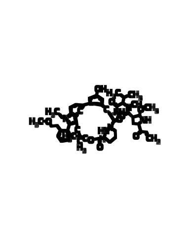 C=CC(=O)C1C[C@@H](C(=O)N(C)C(C(=O)N[C@H]2Cc3cc(O)cc(c3)-c3ccc4c(c3)c(c(-c3ccccc3CCOC)n4CC)CC(C)(C)COC(=O)[C@@H]3CCCN(N3)C2=O)C(C)C)[C@@H](OC)N1